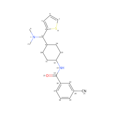 CN(C)C(c1cccs1)C1CCC(NC(=O)c2cccc(C#N)c2)CC1